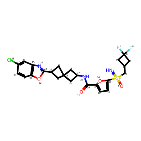 N=S(=O)(CC1CC(F)(F)C1)c1ccc(C(=O)NC2CC3(C2)CC(c2nc4cc(Cl)ccc4o2)C3)o1